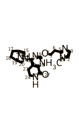 Cn1ccnc1CCOc1nc2c(c(N3CC4CCC(C3)N4)n1)CCNC2=O